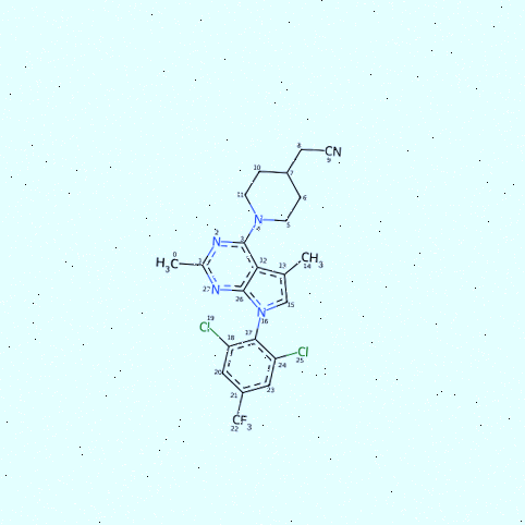 Cc1nc(N2CCC(CC#N)CC2)c2c(C)cn(-c3c(Cl)cc(C(F)(F)F)cc3Cl)c2n1